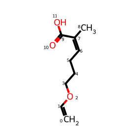 C=COCCCC=C(C)C(=O)O